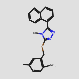 CCn1c(SCc2cc(C)ccc2[N+](=O)[O-])nnc1-c1cccc2ccccc12